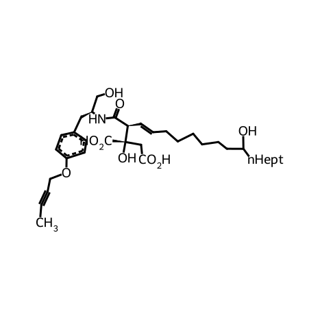 CC#CCOc1ccc(C[C@@H](CO)NC(=O)[C@@H](C=CCCCCCCC(O)CCCCCCC)[C@@](O)(CC(=O)O)C(=O)O)cc1